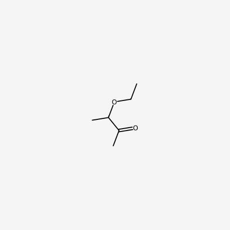 CCO[C](C)C(C)=O